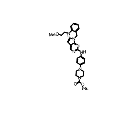 COCCNc1ccccc1Cn1ccc2cnc(Nc3ccc(N4CCN(C(=O)OC(C)(C)C)CC4)cc3)nc21